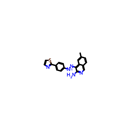 Cc1ccc2cnc(N)c(/N=N/c3ccc(-c4nccs4)cc3)c2c1